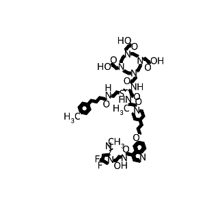 C/N=C/[C@H]1CC(F)(F)CN1C(=O)CNC(=O)c1ccnc2ccc(OCCCC3CCN(C(=O)[C@H](C)NC(=O)[C@H](CSCCNC(=O)CCCc4ccc(C)cc4)NC(=O)CN4CCN(CC(=O)O)CCN(CC(=O)O)CCN(CC(=O)O)CC4)CC3)cc12